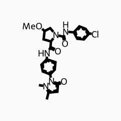 COC1CC(C(=O)Nc2ccc(-n3c(=O)cc(C)n3C)cc2)N(C(=O)Nc2ccc(Cl)cc2)C1